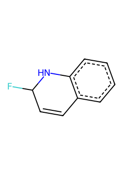 FC1C=Cc2ccccc2N1